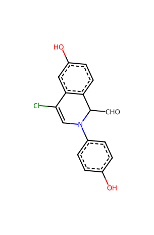 O=CC1c2ccc(O)cc2C(Cl)=CN1c1ccc(O)cc1